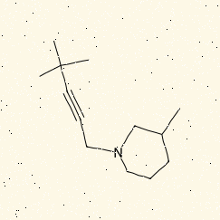 CC1CCCN(CC#CC(C)(C)C)C1